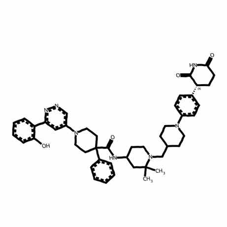 CC1(C)CC(NC(=O)C2(c3ccccc3)CCN(c3cnnc(-c4ccccc4O)c3)CC2)CCN1CC1CCN(c2ccc([C@H]3CCC(=O)NC3=O)cc2)CC1